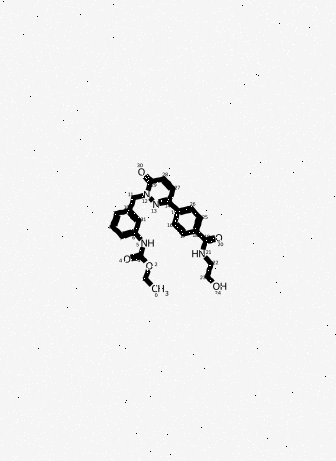 CCOC(=O)Nc1cccc(Cn2nc(-c3ccc(C(=O)NCCO)cc3)ccc2=O)c1